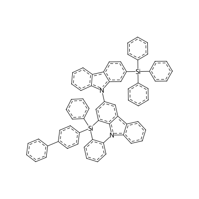 c1ccc(-c2ccc([Si]3(c4ccccc4)c4ccccc4-n4c5ccccc5c5cc(-n6c7ccccc7c7ccc([Si](c8ccccc8)(c8ccccc8)c8ccccc8)cc76)cc3c54)cc2)cc1